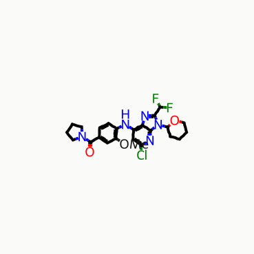 COc1cc(C(=O)N2CCCC2)ccc1Nc1cc(Cl)nc2c1nc(C(F)F)n2C1CCCCO1